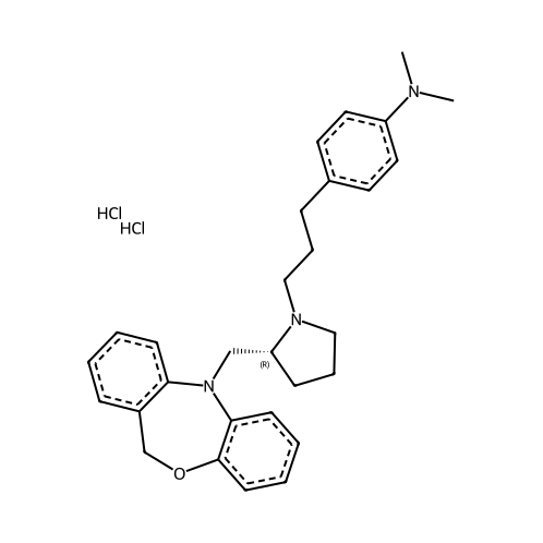 CN(C)c1ccc(CCCN2CCC[C@@H]2CN2c3ccccc3COc3ccccc32)cc1.Cl.Cl